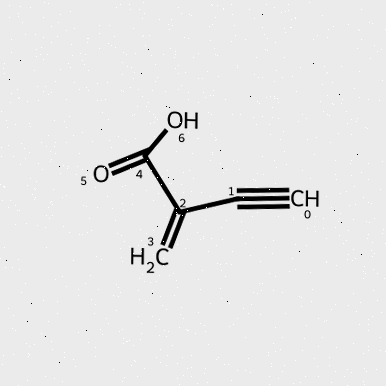 C#CC(=C)C(=O)O